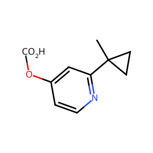 CC1(c2cc(OC(=O)O)ccn2)CC1